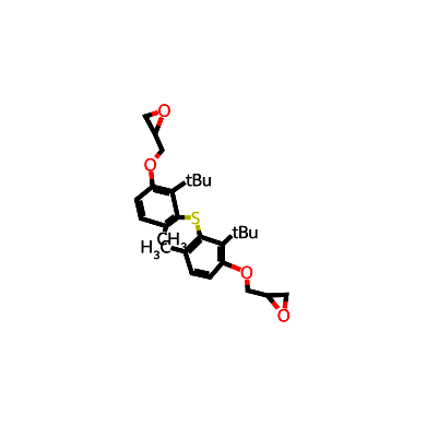 Cc1ccc(OCC2CO2)c(C(C)(C)C)c1Sc1c(C)ccc(OCC2CO2)c1C(C)(C)C